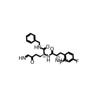 CC(=O)N[C@@H](Cc1ccc(F)cc1F)C(=O)N[C@@H](CCC(=O)C=N)C(=O)NCc1ccccc1